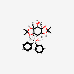 CC1(C)O[C@H]2[C@@H](O[Si](c3ccccc3)(c3ccccc3)C(C)(C)C)[C@@H]3OC(C)(C)O[C@H]3[C@H](O)[C@H]2O1